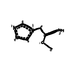 COC(=N)Cn1[c]nnc1